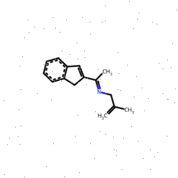 C=C(C)C/N=C(\C)C1=Cc2ccccc2C1